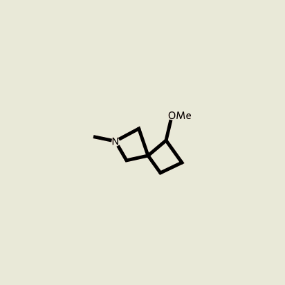 COC1CCC12CN(C)C2